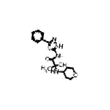 CC(C)(NC1CCOCC1)C(=O)Nc1nc(-c2ccccc2)n[nH]1